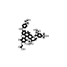 CC1(C)c2cc(Nc3ccc(S(=O)(=O)O)cc3)ccc2C(c2c(F)c(F)c(SCC(=O)O)c(F)c2F)=c2cc3c(cc21)=[N+](Cc1ccc(S(=O)(=O)O)cc1S(=O)(=O)O)C(C)(C)CC3S(=O)(=O)O